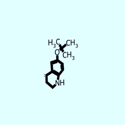 CC(C)(C)Oc1ccc2c(c1)[C]CCN2